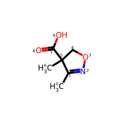 CC1=NOCC1(C)C(=O)O